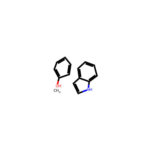 C.Oc1ccccc1.c1ccc2[nH]ccc2c1